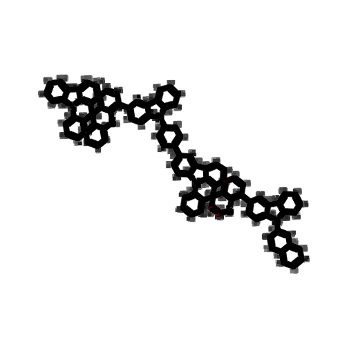 c1ccc2c(c1)Sc1c(-c3ccc4c(c3)c3ccccc3n4-c3ccc(-c4ccc5c(c4)c4cccc6c4n5-c4ccccc4C64c5ccccc5Sc5c(-c6ccc7c(c6)c6ccccc6n7-c6ccc7ccccc7c6)cccc54)cc3)cccc1C21c2ccccc2-n2c3ccccc3c3cccc1c32